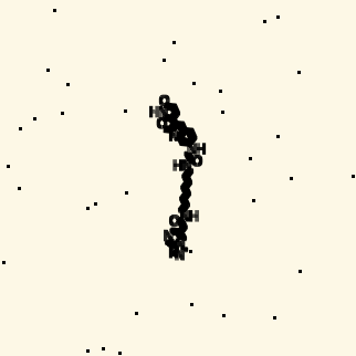 Cc1nc2cc(NCC(=O)NCCCCCCCCNC(=O)CC3=CN4CN=NC4=CN=C3)ccc2cc1C1CCC(=O)NC1=O